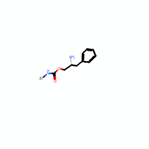 CCNC(=O)OC[C@H](N)Cc1ccccc1